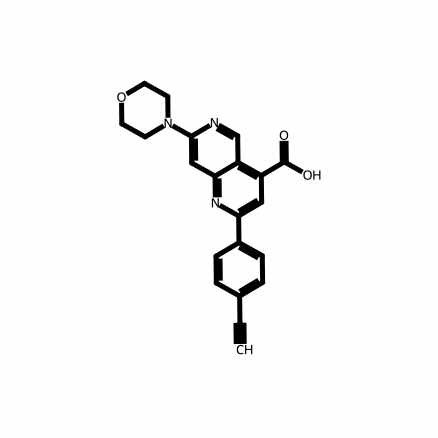 C#Cc1ccc(-c2cc(C(=O)O)c3cnc(N4CCOCC4)cc3n2)cc1